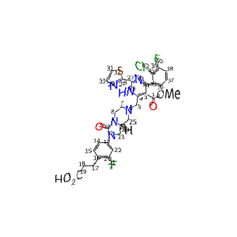 COC(=O)C1=C(CN2CCN3C(=O)N(c4ccc(CCC(=O)O)c(F)c4)C[C@@H]3C2)NC(c2nccs2)=N[C@H]1c1cccc(F)c1Cl